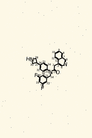 O=C(Cc1cncc2ccccc12)N(Cc1cc(F)cc(F)c1)c1ccc(C2CNC2)cc1